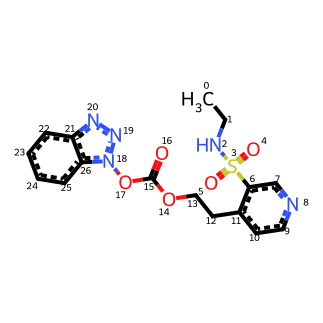 CCNS(=O)(=O)c1cnccc1CCOC(=O)On1nnc2ccccc21